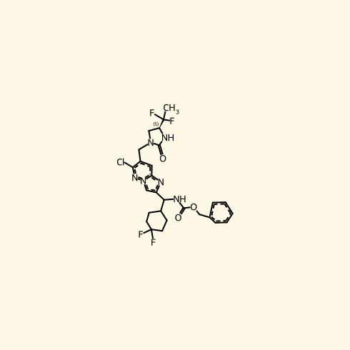 CC(F)(F)[C@@H]1CN(Cc2cc3nc(C(NC(=O)OCc4ccccc4)C4CCC(F)(F)CC4)cn3nc2Cl)C(=O)N1